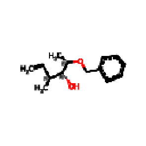 C=C[C@H](C)[C@@H](O)[C@H](C)OCc1ccccc1